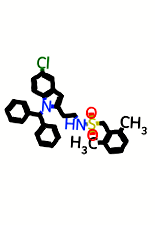 Cc1cccc(C)c1CS(=O)(=O)NCCc1cc2cc(Cl)ccc2n1C(c1ccccc1)c1ccccc1